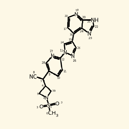 CS(=O)(=O)N1CC(C(C#N)c2ccc(-n3cc(-c4ccnc5[nH]cnc45)cn3)nc2)C1